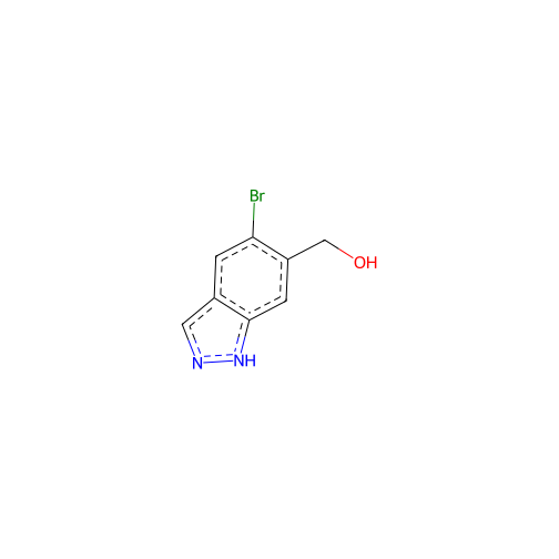 OCc1cc2[nH]ncc2cc1Br